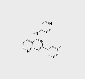 Cc1cccc(-c2nc(Nc3ccncc3)c3cccnc3n2)c1